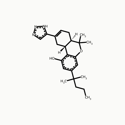 CCCC(C)(C)c1cc(O)c2c(c1)OC(C)(C)[C@@H]1CC=C(c3cnn[nH]3)C[C@@H]21